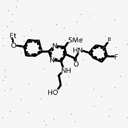 CCOc1ccc(-c2nc(NCCO)c(C(=O)Nc3ccc(F)c(F)c3)c(SC)n2)cc1